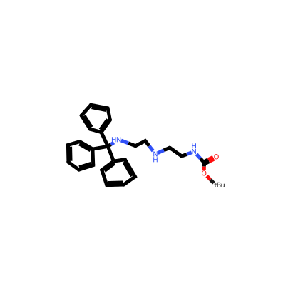 CC(C)(C)OC(=O)NCCNCCNC(c1ccccc1)(c1ccccc1)c1ccccc1